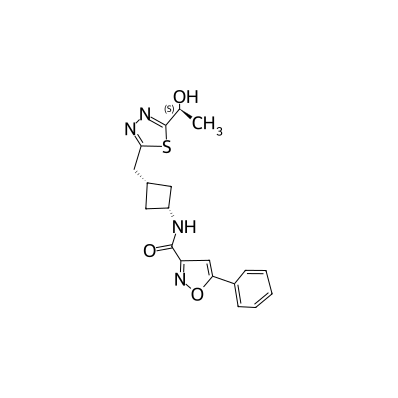 C[C@H](O)c1nnc(C[C@H]2C[C@@H](NC(=O)c3cc(-c4ccccc4)on3)C2)s1